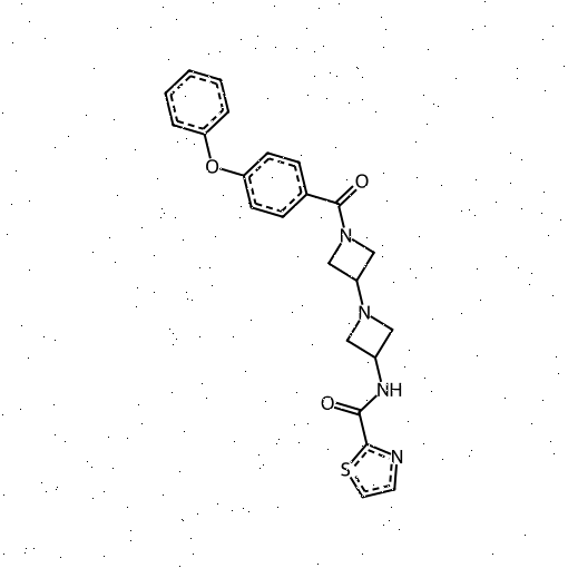 O=C(NC1CN(C2CN(C(=O)c3ccc(Oc4ccccc4)cc3)C2)C1)c1nccs1